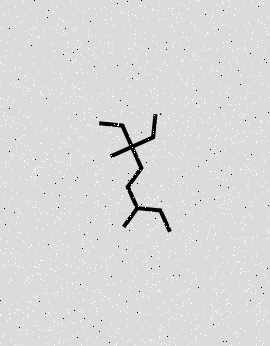 [CH2]CC(C)(CC)CCC(C)CC